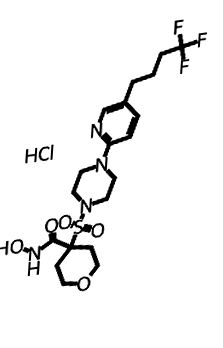 Cl.O=C(NO)C1(S(=O)(=O)N2CCN(c3ccc(CCCC(F)(F)F)cn3)CC2)CCOCC1